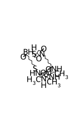 BC(=O)CCCCCSCNC(=O)[C@H](C)NC(=O)[C@@H](C)NC(=O)[C@H](C)NC(=O)CCCCCN1C(=O)CC(S)C1=O